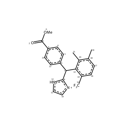 COC(=O)c1ccc(C(c2ncc[nH]2)c2c(C(F)(F)F)ccc(C)c2C)cc1